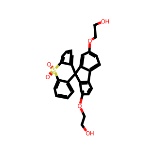 O=S1(=O)c2ccccc2C2(c3cc(OCCO)ccc3-c3ccc(OCCO)cc32)c2ccccc21